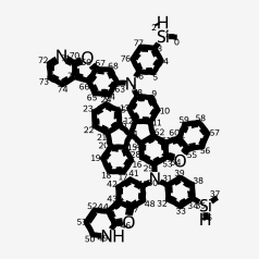 C[SiH](C)c1ccc(N(c2ccc3c(c2)C2(c4ccccc4-c4ccccc42)c2cc(N(c4ccc([SiH](C)C)cc4)c4ccc5c6c(oc5c4)NCC=C6)c4oc5ccccc5c4c2-3)c2ccc3c(c2)oc2ncccc23)cc1